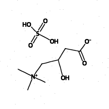 C[N+](C)(C)CC(O)CC(=O)[O-].O=S(=O)(O)O